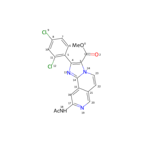 COC(=O)c1c(-c2ccc(Cl)cc2Cl)nc2c3cc(NC(C)=O)ncc3ccn12